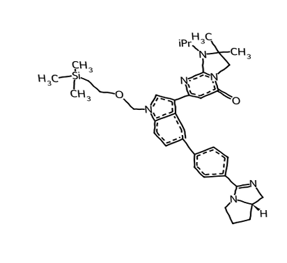 CC(C)N1c2nc(-c3cn(COCC[Si](C)(C)C)c4ccc(-c5ccc(C6=NC[C@@H]7CCCN67)cc5)cc34)cc(=O)n2CC1(C)C